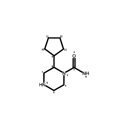 [NH]C(=O)N1CCNCC1C1CCCC1